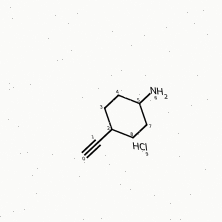 C#CC1CCC(N)CC1.Cl